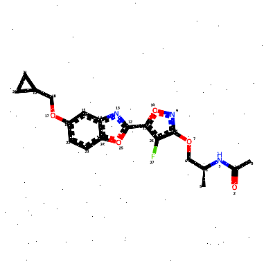 CC(=O)N[C@@H](C)COc1noc(-c2nc3cc(OCC4CC4)ccc3o2)c1F